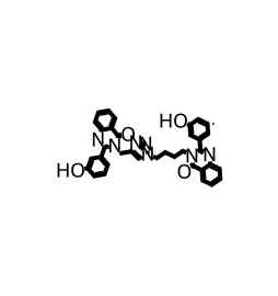 O=c1c2ccccc2nc(-c2c[c]cc(O)c2)n1CCCCn1cc(Cn2c(-c3cccc(O)c3)nc3ccccc3c2=O)nn1